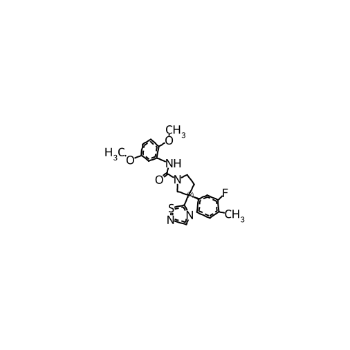 COc1ccc(OC)c(NC(=O)N2CC[C@](c3ccc(C)c(F)c3)(c3ncns3)C2)c1